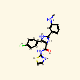 CNc1cccc(-c2nc(C(=O)Nc3nccs3)c(-c3ccc(Cl)cc3)[nH]2)c1